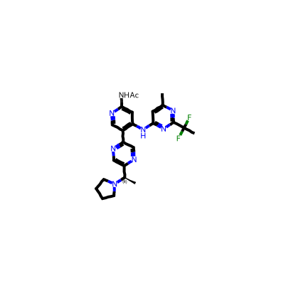 CC(=O)Nc1cc(Nc2cc(C)nc(C(C)(F)F)n2)c(-c2cnc([C@@H](C)N3CCCC3)cn2)cn1